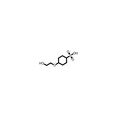 O=S(=O)(O)C1CCC(OCCO)CC1